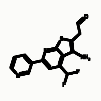 Nc1c(CC=O)sc2nc(-c3cccnc3)cc(C(F)F)c12